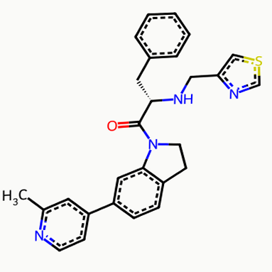 Cc1cc(-c2ccc3c(c2)N(C(=O)[C@H](Cc2ccccc2)NCc2cscn2)CC3)ccn1